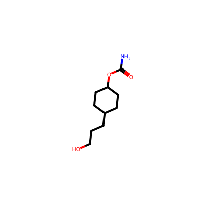 NC(=O)OC1CCC(CCCO)CC1